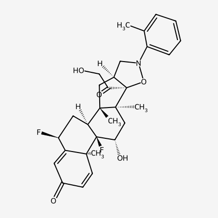 Cc1ccccc1N1C[C@@H]2C[C@@]3(C)[C@@H]4C[C@H](F)C5=CC(=O)C=C[C@]5(C)[C@@]4(F)[C@@H](O)C[C@]3(C)[C@]2(C(=O)CO)O1